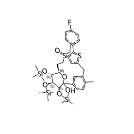 CC[Si](=O)CC[C@H]1OC(O)(c2ccc(C)c(Cc3ccc(-c4ccc(F)cc4)s3)c2)[C@H](O[Si](C)(C)C)[C@@H](O[Si](C)(C)C)[C@@H]1O[Si](C)(C)C